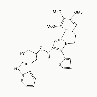 COc1cc2c(c(OC)c1OC)-c1cc(C(=O)NC(CO)Cc3c[nH]c4ccccc34)c(-c3cccs3)n1CC2